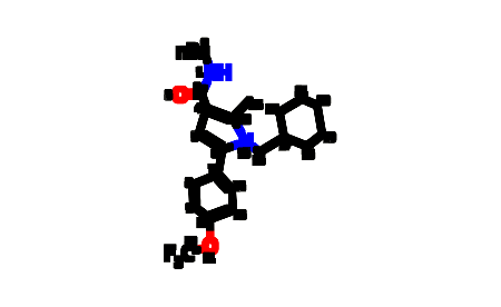 CCCCNC(=O)c1cc(-c2ccc(OC(F)(F)F)cc2)n(CC2CCCCC2)c1C